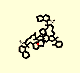 C=C(/C=C/C=C1/N(C)c2ccc3ccccc3c2C1(C)Cc1ccccc1)C(C)(Cc1ccc(CC(C)(C(=C)/C=C/C=C2/N(C)c3ccc4ccccc4c3C2(C)Cc2ccccc2)c2ccccc2C)cc1)c1ccccc1C